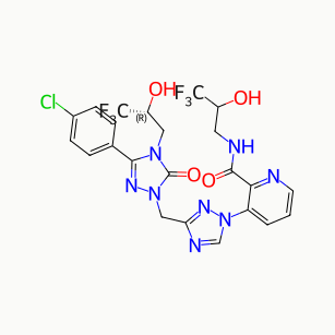 O=C(NCC(O)C(F)(F)F)c1ncccc1-n1cnc(Cn2nc(-c3ccc(Cl)cc3)n(C[C@@H](O)C(F)(F)F)c2=O)n1